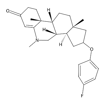 CN1C[C@@H]2[C@@H](CC[C@]3(C)CC(Oc4ccc(F)cc4)C[C@@H]23)[C@@]2(C)CCC(=O)C=C12